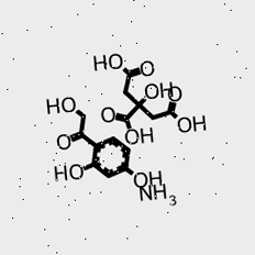 N.O=C(CO)c1ccc(O)cc1O.O=C(O)CC(O)(CC(=O)O)C(=O)O